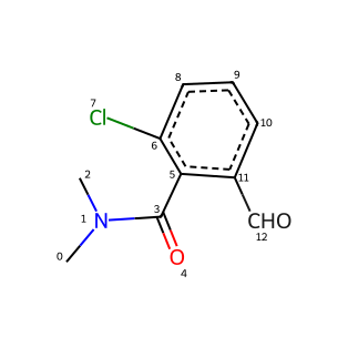 CN(C)C(=O)c1c(Cl)cccc1C=O